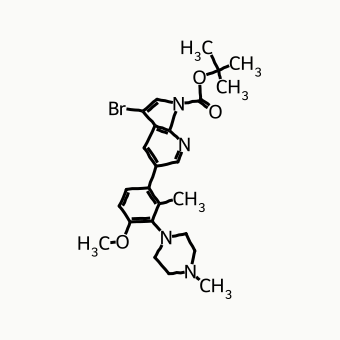 COc1ccc(-c2cnc3c(c2)c(Br)cn3C(=O)OC(C)(C)C)c(C)c1N1CCN(C)CC1